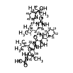 CC[C@H](C)[C@H](C(=O)N[C@@H](Cc1ccccc1)[C@@H](O)CN(CCC(C)C)NC(=O)CC(C)(C)CNC(=O)O)C1CNC(=O)N1Cc1cccc(C(C)(C)O)n1